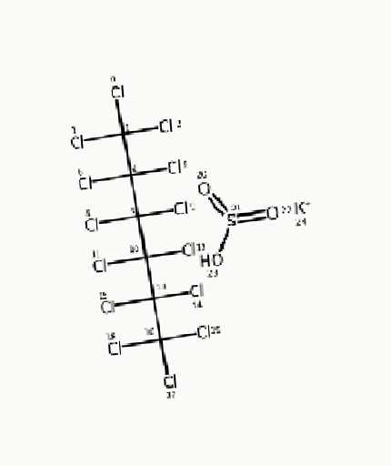 ClC(Cl)(Cl)C(Cl)(Cl)C(Cl)(Cl)C(Cl)(Cl)C(Cl)(Cl)C(Cl)(Cl)Cl.O=[S-](=O)O.[K+]